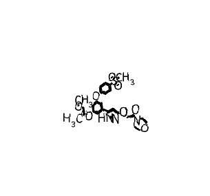 COC[C@H](C)Oc1cc(Oc2ccc(S(C)(=O)=O)cc2)cc(-c2cc(OCC(=O)N3CCOCC3)n[nH]2)c1